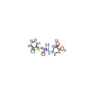 COc1ccc(CNC(=O)CSc2ccccc2Cl)cc1OC